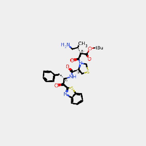 CC(CN)[C@H](C(=O)OC(C)(C)C)C(=O)N1CSC[C@H]1C(=O)N[C@@H](Cc1ccccc1)C(=O)c1nc2ccccc2s1